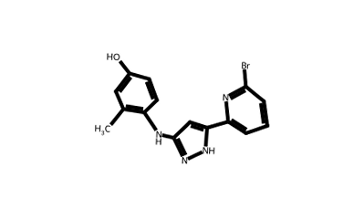 Cc1cc(O)ccc1Nc1cc(-c2cccc(Br)n2)[nH]n1